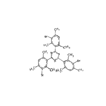 Cc1cc(C)c(-c2nc(-c3c(C)cc(C)c(Br)c3C)nc(-c3c(C)cc(C)c(Br)c3C)n2)c(C)c1Br